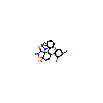 O=C1NOC2(O)C=CC(c3ccc(F)cc3F)=C(c3c(Cl)cccc3Cl)C12N1CCSC1